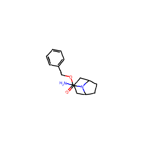 NC1CC2CCC(C1)N2C(=O)OCc1ccccc1